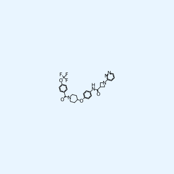 O=C(Nc1ccc(OC2CCN(C(=O)c3ccc(OC(F)(F)F)cc3)CC2)cc1)C1CN(c2cccnn2)C1